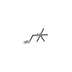 CCC[CH2][Ni]([CH3])([CH3])([CH3])[CH3]